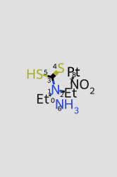 CCN(CC)C(=S)S.N.O=[N+]([O-])[Pt]